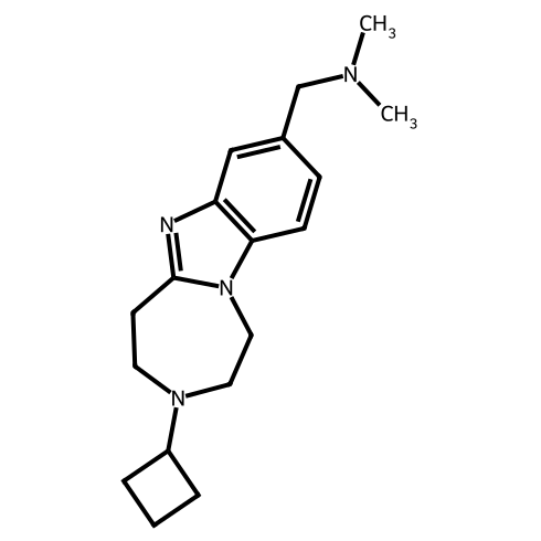 CN(C)Cc1ccc2c(c1)nc1n2CCN(C2CCC2)CC1